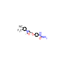 C[C@H]1O[C@H](COc2ccc(NC(N)=O)cc2)CN1c1ccc(C#N)c(C(F)(F)F)c1